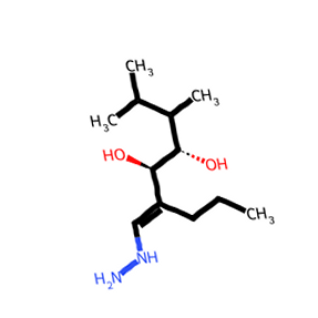 CCC/C(=C\NN)[C@@H](O)[C@@H](O)C(C)C(C)C